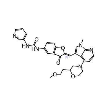 COCCC1CN(c2ccnc3c2c(/C=C2\Oc4ccc(NC(=O)Nc5cccnc5)cc4C2=O)cn3C)CCO1